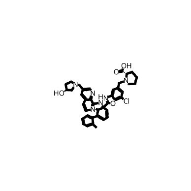 Cc1ccccc1C1=CC=CC(Nc2nccc3cc(CN4CC[C@H](O)C4)cnc23)(c2nc3cc(CN4CCCC[C@H]4C(=O)O)cc(Cl)c3o2)C1C